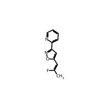 C/C(F)=C/c1cc(-c2ccccn2)no1